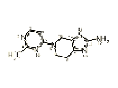 Cc1nccc(N2CCc3nc(N)sc3C2)n1